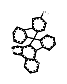 Cc1ccc2c(c1)-c1ccccc1C21c2ccccc2-c2c1c1ccccc1c1cccnc21